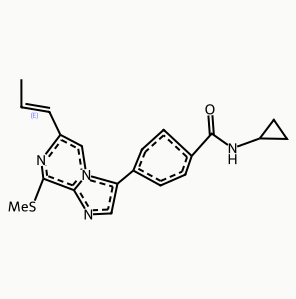 C/C=C/c1cn2c(-c3ccc(C(=O)NC4CC4)cc3)cnc2c(SC)n1